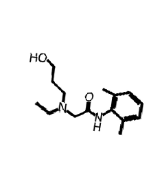 CCN(CCCO)CC(=O)Nc1c(C)cccc1C